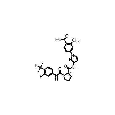 Cc1cc(-n2ccc(NC(=O)[C@H]3CCCN3C(=O)Nc3ccc(C(F)(F)F)c(F)c3)n2)ccc1C(=O)O